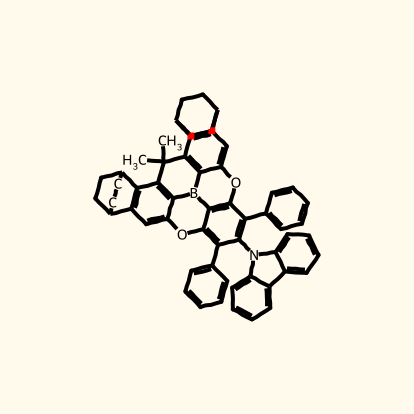 CC1(C)c2c3c(cc4c2C2CCC4CC2)Oc2c4c(c(-c5ccccc5)c(-n5c6ccccc6c6ccccc65)c2-c2ccccc2)Oc2cc5c(c1c2B43)C1CCC5CC1